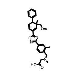 COCC1(C)C=C(c2nc(-c3ccc(CN(C)CC(=O)O)c(C)c3)no2)C=CC1c1ccccc1